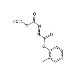 CCCCCCCCOC(=O)N=NC(=O)Oc1ccccc1C